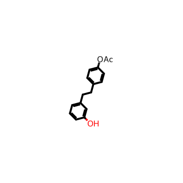 CC(=O)Oc1ccc(CCc2cccc(O)c2)cc1